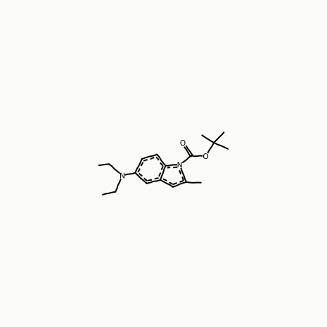 CCN(CC)c1ccc2c(c1)cc(C)n2C(=O)OC(C)(C)C